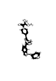 CC(C)C(=O)N1CCC(c2noc(-c3ccc4cnn([C@H]5CCOC5)c4c3)n2)CC1